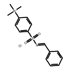 C[N+](C)(C)c1ccc(S(=O)(=O)N=Cc2ccccc2)cc1.[Cl-]